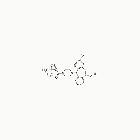 CC(C)(C)OC(=O)N1CCN(C2c3ccccc3C(CO)=Cc3cc(Br)cnc32)CC1